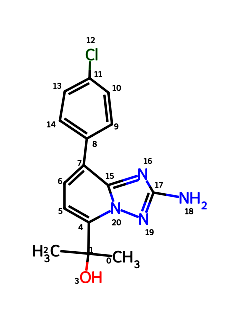 CC(C)(O)c1ccc(-c2ccc(Cl)cc2)c2nc(N)nn12